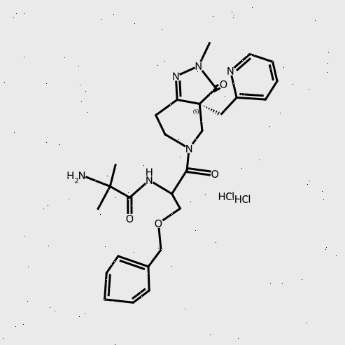 CN1N=C2CCN(C(=O)C(COCc3ccccc3)NC(=O)C(C)(C)N)C[C@]2(Cc2ccccn2)C1=O.Cl.Cl